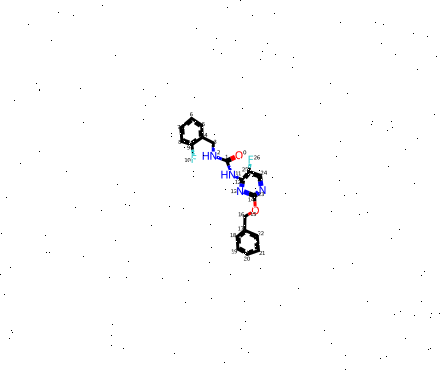 O=C(NCc1ccccc1F)Nc1nc(OCc2ccccc2)ncc1F